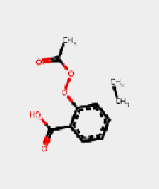 CC.CC(=O)OOc1ccccc1C(=O)O